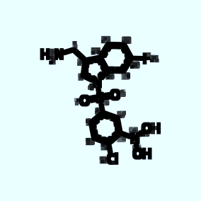 NCc1cn(S(=O)(=O)c2ccc(Cl)c(N(O)O)c2)c2cc(F)ccc12